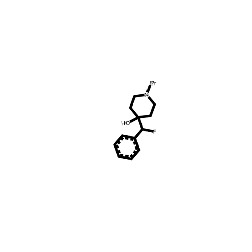 CC(C)N1CCC(O)(C(F)c2ccccc2)CC1